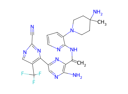 C=C(Nc1ncccc1N1CCC(C)(N)CC1)c1nc(-c2nc(C#N)ncc2C(F)(F)F)cnc1N